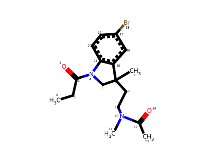 CCC(=O)N1CC(C)(CCN(C)C(C)=O)c2cc(Br)ccc21